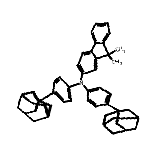 CC1(C)c2ccccc2-c2ccc(N(c3ccc(C45CC6CC(CC(C6)C4)C5)cc3)c3ccc(C45CC6CC(CC(C6)C4)C5)cc3)cc21